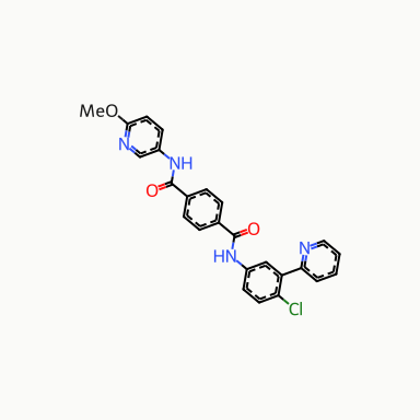 COc1ccc(NC(=O)c2ccc(C(=O)Nc3ccc(Cl)c(-c4ccccn4)c3)cc2)cn1